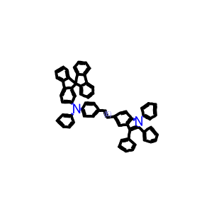 C(=C\c1ccc2c(c1)c(-c1ccccc1)c(-c1ccccc1)n2-c1ccccc1)/c1ccc(N(c2ccccc2)c2ccc3c(c2)C2(c4ccccc4-c4ccccc42)c2ccccc2-3)cc1